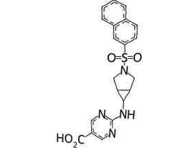 O=C(O)c1cnc(NC2C3CN(S(=O)(=O)c4ccc5ccccc5c4)CC32)nc1